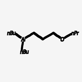 CCC[CH2][Al]([CH2]CCC)[CH2]CCOCCC